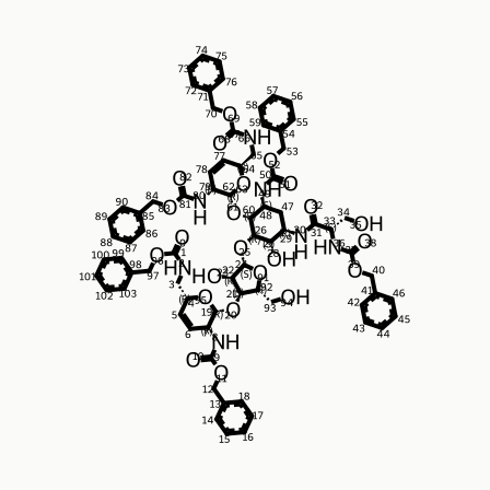 O=C(NC[C@H]1C=C[C@@H](NC(=O)OCc2ccccc2)[C@@H](O[C@H]2[C@@H](O)[C@H](O[C@@H]3[C@@H](O)[C@H](NC(=O)[C@H](CO)NC(=O)OCc4ccccc4)C[C@H](NC(=O)OCc4ccccc4)[C@H]3O[C@H]3O[C@H](CNC(=O)OCc4ccccc4)C=C[C@H]3NC(=O)OCc3ccccc3)O[C@@H]2CO)O1)OCc1ccccc1